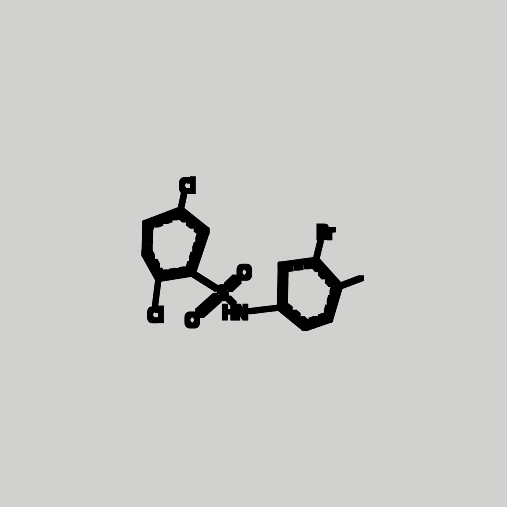 Cc1ccc(NS(=O)(=O)c2cc(Cl)ccc2Cl)cc1Br